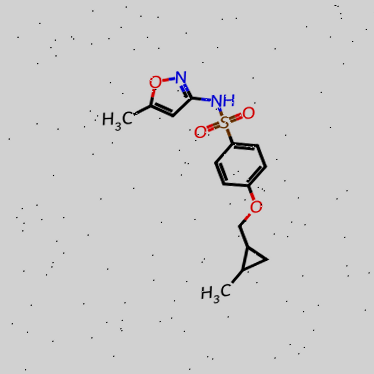 Cc1cc(NS(=O)(=O)c2ccc(OCC3CC3C)cc2)no1